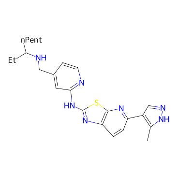 CCCCCC(CC)NCc1ccnc(Nc2nc3ccc(-c4cn[nH]c4C)nc3s2)c1